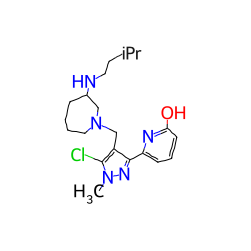 CC(C)CCNC1CCCCN(Cc2c(-c3cccc(O)n3)nn(C)c2Cl)C1